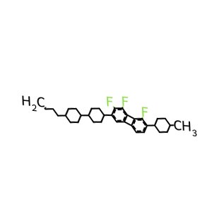 C=CCCC1CCC(C2CCC(c3cc4c(c(F)c3F)-c3c-4ccc(C4CCC(C)CC4)c3F)CC2)CC1